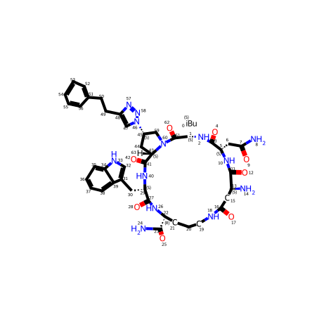 CC[C@H](C)[C@@H]1NC(=O)[C@H](CC(N)=O)NC(=O)[C@@H](N)CC(=O)NCCC[C@H](C(N)=O)NC(=O)[C@H](Cc2c[nH]c3ccccc23)NC(=O)[C@@H]2C[C@H](n3cc(CCc4ccccc4)nn3)CN2C1=O